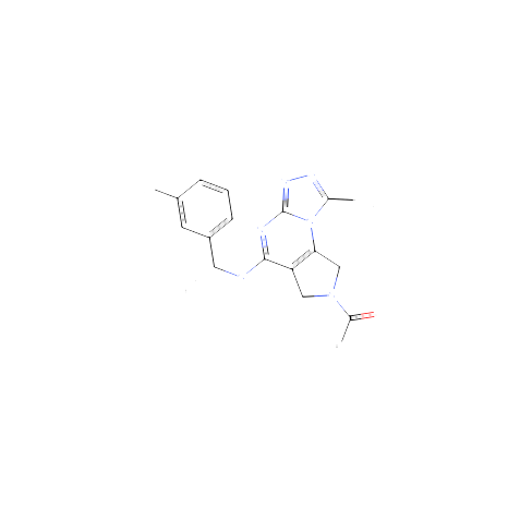 Cc1nnc2nc(N[C@H](C)c3cccc(C(F)(F)F)c3)c3c(n12)CN(C(=O)C(C)(C)C)C3